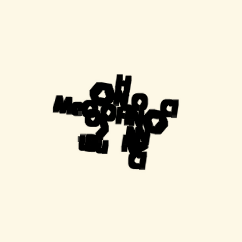 COc1cccc(NCC(=O)Nc2cc(Cl)ccc2-n2cc(Cl)nn2)c1OC(=O)CCC(C)(C)C